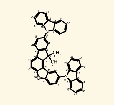 CC1(C)c2cc(-n3c4ccccc4c4ccccc43)ccc2-c2ccc3oc4ccc(-n5c6ccccc6c6ccccc65)cc4c3c21